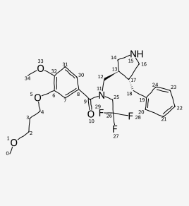 COCCCOc1cc(C(=O)N(C[C@H]2CNC[C@@H]2Cc2ccccc2)CC(F)(F)F)ccc1OC